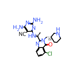 C[C@H](Nc1nc(N)nc(N)c1C#N)c1nc2cccc(Cl)c2c(=O)n1C[C@H]1CCCNC1